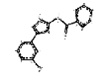 O=C(Nc1nc(-c2cccc(Br)c2)cs1)c1ccccc1